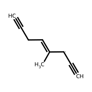 C#C[CH]/C(C)=C/CC#C